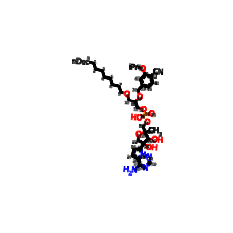 CCCCCCCCCCCCCCCCCCOC[C@H](COP(=O)(O)OC[C@@]1(C)OC[C@](O)(c2ccc3c(N)ncnn23)[C@@H]1O)OCc1ccc(C#N)c(OC(C)C)c1